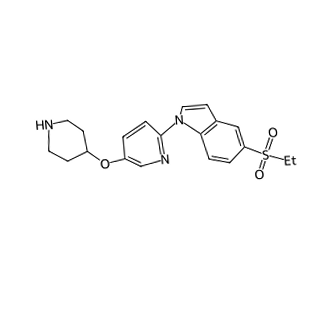 CCS(=O)(=O)c1ccc2c(ccn2-c2ccc(OC3CCNCC3)cn2)c1